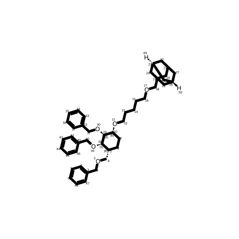 c1ccc(COC[C@H]2CC[C@@H](OCCCCCOCC34CC5C[C@H](C3)C[C@H](C5)C4)[C@@H](OCc3ccccc3)[C@H]2OCc2ccccc2)cc1